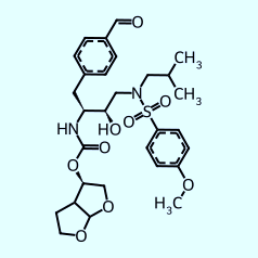 COc1ccc(S(=O)(=O)N(CC(C)C)C[C@@H](O)[C@H](Cc2ccc(C=O)cc2)NC(=O)O[C@H]2COC3OCCC32)cc1